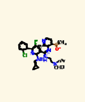 CCCN(C=O)CCN/C(=N/c1c([S+](C)[O-])ccnc1C(C)C)c1cc(F)c(-c2ccccc2Cl)nc1NC=C1CC1